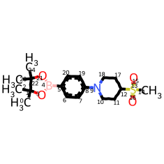 CC1(C)OB(c2ccc(N3CCC(S(C)(=O)=O)CC3)cc2)OC1(C)C